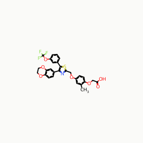 Cc1cc(OCc2nc(-c3ccc4c(c3)OCCO4)c(-c3cccc(OC(F)(F)F)c3)s2)ccc1OCC(=O)O